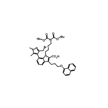 Cc1c(-c2cccc3c(CCCOc4cccc5ccccc45)c(C(=O)O)n(CCCCN(C(=O)OC(C)(C)C)C(=O)OC(C)(C)C)c23)c(CBr)nn1C